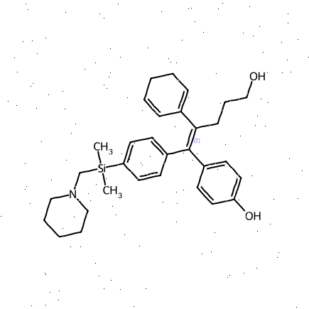 C[Si](C)(CN1CCCCC1)c1ccc(/C(=C(/CCCO)C2=CCCC=C2)c2ccc(O)cc2)cc1